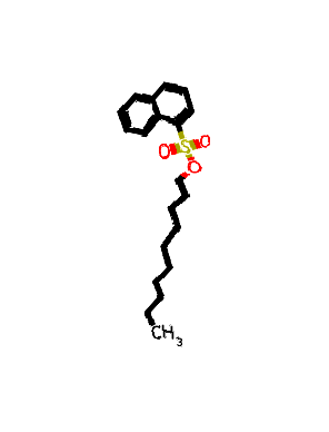 CCCCCCCCCCOS(=O)(=O)c1cccc2ccccc12